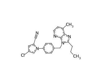 CCCc1nc2c(C)ccnc2n1Cc1ccc(-n2cc(Cl)cc2C#N)cc1